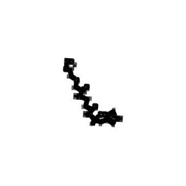 C[C@@](Cc1c[nH]cn1)(NC(=O)CCNC(=O)COCCO[N+](=O)[O-])C(=O)O